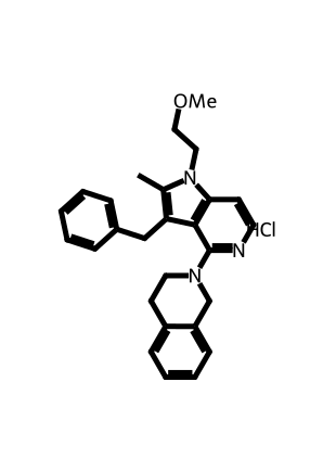 COCCn1c(C)c(Cc2ccccc2)c2c(N3CCc4ccccc4C3)nccc21.Cl